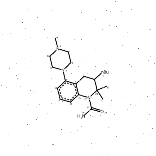 CCCCC1Cc2c(N3CCN(C)CC3)cccc2N(C(N)=O)C1(C)C